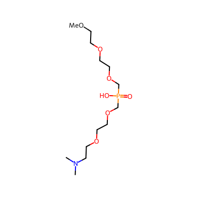 COCCOCCOCP(=O)(O)COCCOCCN(C)C